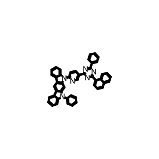 c1ccc(-c2nc(-c3ccc(-n4c5ccccc5c5cc6c7ccccc7n(-c7ccccc7)c6cc54)nc3)nc(-c3cccc4ccccc34)n2)cc1